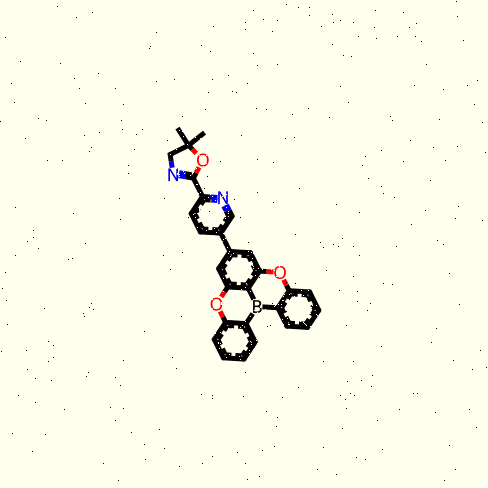 CC1(C)CN=C(c2ccc(-c3cc4c5c(c3)Oc3ccccc3B5c3ccccc3O4)cn2)O1